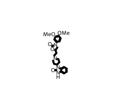 COc1ccc(N2CC(CCN3CCC(n4c(=O)[nH]c5ccccc54)CC3)OC2=O)cc1OC